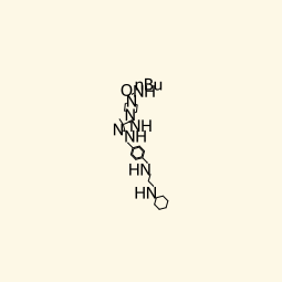 CCCCNC(=O)N1CCN(C(=N)C2(C)N=C2NCc2ccc(CNCCCNC3CCCCC3)cc2)CC1